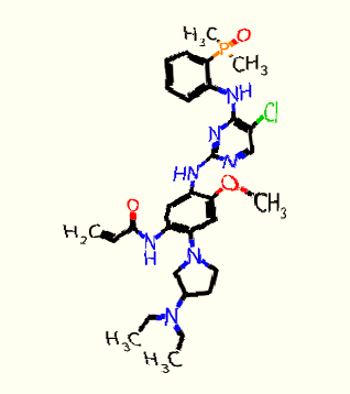 C=CC(=O)Nc1cc(Nc2ncc(Cl)c(Nc3ccccc3P(C)(C)=O)n2)c(OC)cc1N1CCC(N(CC)CC)C1